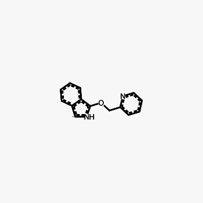 [c]1[nH]c(OCc2ccccn2)c2ccccc12